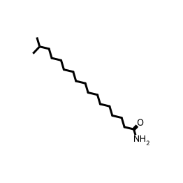 CC(C)CCCCCCCCCCCCCCC(N)=O